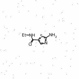 CCNC(=O)c1cnc(N)s1